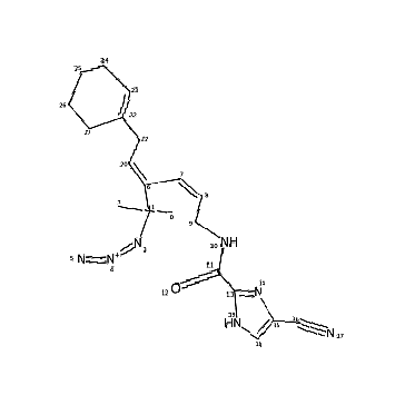 CC(C)(N=[N+]=[N-])C(/C=C\CNC(=O)c1nc(C#N)c[nH]1)=C/CC1=CCCCC1